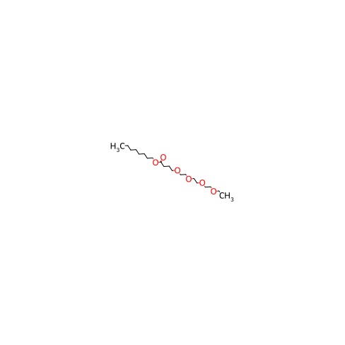 CCCCCCCCOC(=O)CCCOCCOCCOCCOCC